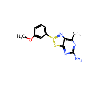 COc1cccc(S2=Nc3c(C)nc(N)nc3S2)c1